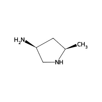 C[C@@H]1C[C@H](N)CN1